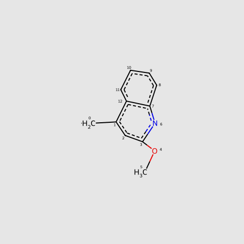 [CH2]c1cc(OC)nc2ccccc12